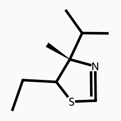 CCC1SC=N[C@@]1(C)C(C)C